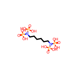 O=P(O)(O)N(CCCCCCN(P(=O)(O)O)P(=O)(O)O)P(=O)(O)O